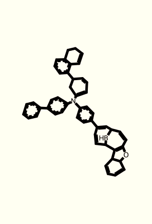 B1C2C=CC3=C(C1C=CC(c1ccc(N(C4=CC=CC(c5cccc6c5C=CCC6)C4)c4ccc(-c5ccccc5)cc4)cc1)=C2)C1C=CC=CC1O3